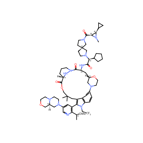 CO[C@@H](C)c1ncc(N2CCN3CCOC[C@@H]3C2)cc1-c1c2c3cc(ccc3n1CC(F)(F)F)N1CCO[C@@H](C[C@H](NC(=O)[C@H](C3CCCC3)N3CC[C@]4(CCN(C(=O)[C@H]5[C@@H](C6CC6)N5C)C4)C3)C(=O)N3CCC[C@H](N3)C(=O)OCC(C)(C)C2)C1